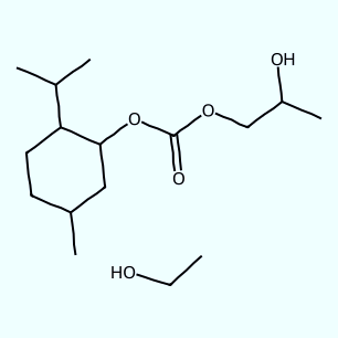 CC(O)COC(=O)OC1CC(C)CCC1C(C)C.CCO